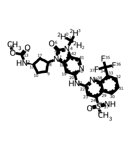 [2H]C([2H])([2H])n1c(=O)n(C2CC[C@@H](NC(=O)OC)C2)c2cc(Nc3cc(S(C)(=N)=O)c4cccc(C(F)(F)F)c4n3)ncc21